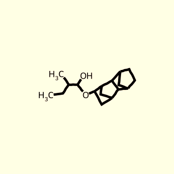 CCC(C)C(O)OC1CC2CC1C1C3CCC(C3)C21